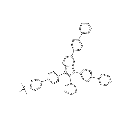 CS(C)(C)c1ccc(-c2ccc(-n3c(-c4ccccc4)c(-c4ccc(-c5ccccc5)cc4)c4cc(-c5ccc(-c6ccccc6)cc5)ccc43)cc2)cc1